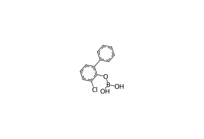 OB(O)Oc1c(Cl)cccc1-c1ccccc1